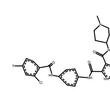 CN1CCC(NC(=O)c2nc[nH]c2C(=O)Nc2ccc(NC(=O)c3ccc(F)cc3Cl)cc2)CC1